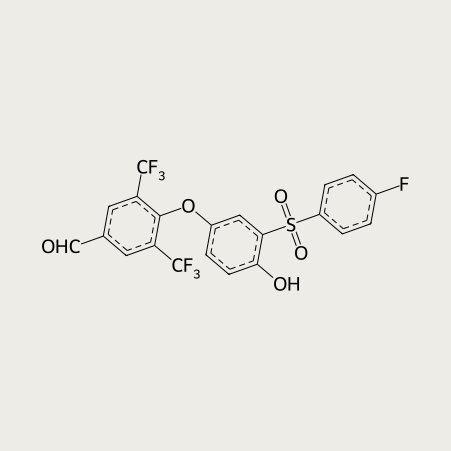 O=Cc1cc(C(F)(F)F)c(Oc2ccc(O)c(S(=O)(=O)c3ccc(F)cc3)c2)c(C(F)(F)F)c1